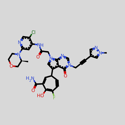 C[C@H]1COCCN1c1cc(NC(=O)Cn2cc(C3C#CC(F)=C(O)C(C(N)=O)=C3)c3c(=O)n(CC#Cc4cnn(C)c4)cnc32)c(Cl)cn1